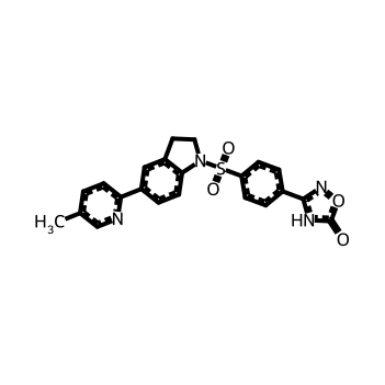 Cc1ccc(-c2ccc3c(c2)CCN3S(=O)(=O)c2ccc(-c3noc(=O)[nH]3)cc2)nc1